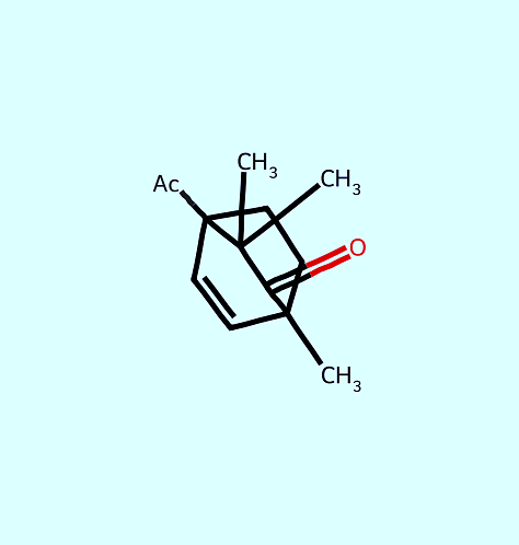 CC(=O)C12C=CC(C)(CC1)C(=O)C2(C)C